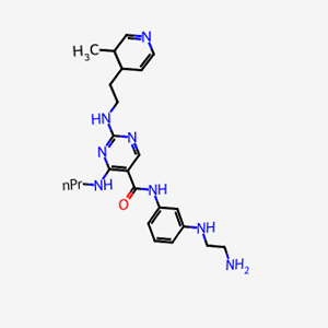 CCCNc1nc(NCCC2C=CN=CC2C)ncc1C(=O)Nc1cccc(NCCN)c1